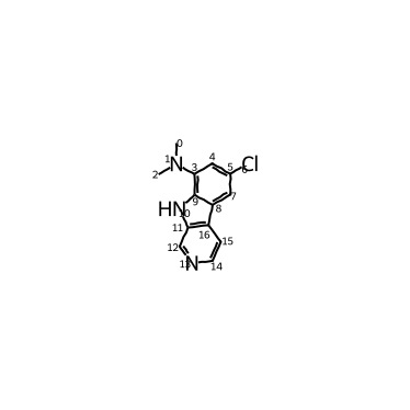 CN(C)c1cc(Cl)cc2c1[nH]c1cnccc12